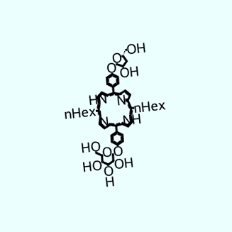 CCCCCCc1c2nc(c(-c3ccc(OC4O[C@H](CO)C[C@H]4O)cc3)c3ccc([nH]3)c(CCCCCC)c3nc(c(-c4ccc(OC5OC(CO)C(O)C(O)C5O)cc4)c4ccc1[nH]4)C=C3)C=C2